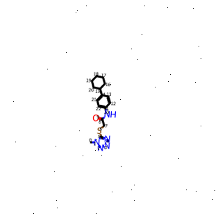 Cn1nnnc1SCC(=O)Nc1ccc(C2CCCCC2)cc1